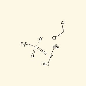 CCCC[B+]CCCC.ClCCl.O=S(=O)([O-])C(F)(F)F